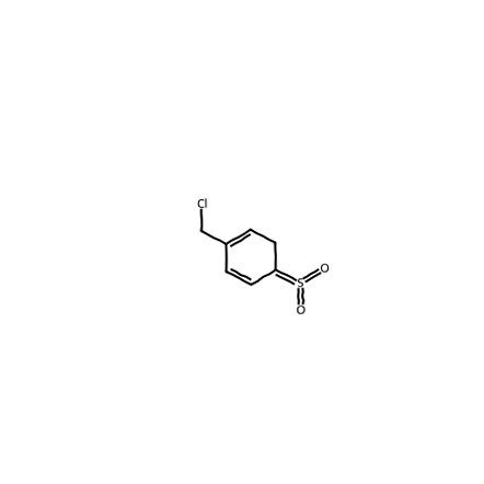 O=S(=O)=C1C=CC(CCl)=CC1